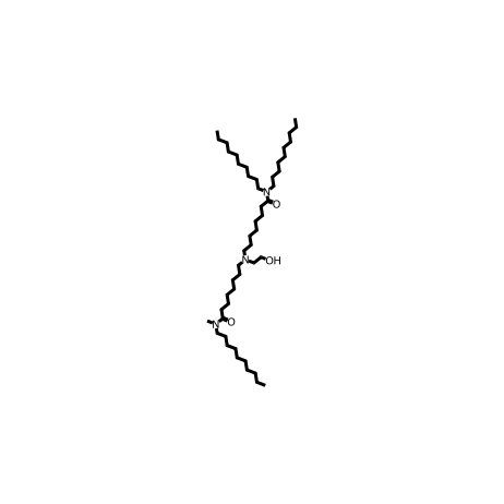 CCCCCCCCCCN(C)C(=O)CCCCCCCN(CCO)CCCCCCCC(=O)N(CCCCCCCCCC)CCCCCCCCCC